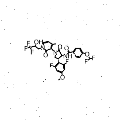 COc1cc(F)c([C@@H]2CN(c3c(C)ccn(CC(O)C(F)(F)F)c3=O)C(=O)[C@H]2NC(=O)c2ccc(OC(F)F)cc2)c(F)c1